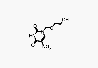 O=c1[nH]c(=O)n(COCCO)cc1[N+](=O)[O-]